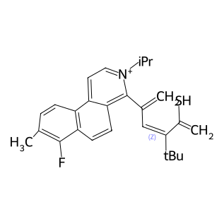 C=C(S)/C(=C\C(=C)c1c2ccc3c(F)c(C)ccc3c2cc[n+]1C(C)C)C(C)(C)C